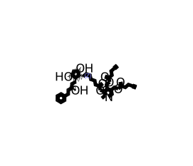 C#CCCC(=O)OCc1cnc(C)c(OC(=O)CCC/C=C\C[C@@H]2[C@@H](CC[C@@H](O)CCc3ccccc3)[C@H](O)C[C@@H]2O)c1COC(=O)CCC#C